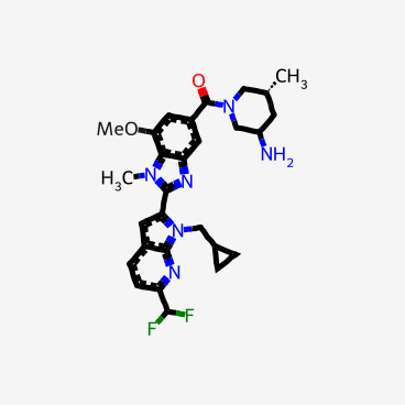 COc1cc(C(=O)N2CC(N)C[C@@H](C)C2)cc2nc(-c3cc4ccc(C(F)F)nc4n3CC3CC3)n(C)c12